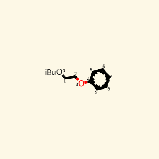 CC(C)COCCOc1ccccc1